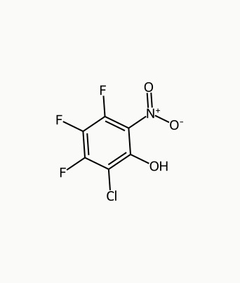 O=[N+]([O-])c1c(O)c(Cl)c(F)c(F)c1F